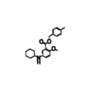 COc1ccc(NC2CCCCC2)cc1C(=O)OCc1ccc(C)cc1